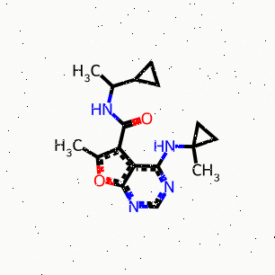 Cc1oc2ncnc(NC3(C)CC3)c2c1C(=O)NC(C)C1CC1